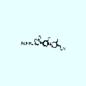 CC(=O)NC[C@H]1CN(c2ccc(N3CC/C(=C\C#N)C(F)C3)c(F)c2)C(=O)O1